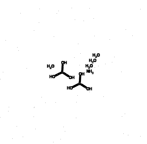 N.O.O.O.O.OB(O)O.OB(O)O